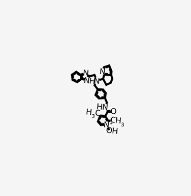 Cc1cc[n+](O)c(C)c1C(=O)NCc1ccc(CN(Cc2nc3ccccc3[nH]2)C2CCCc3cccnc32)cc1